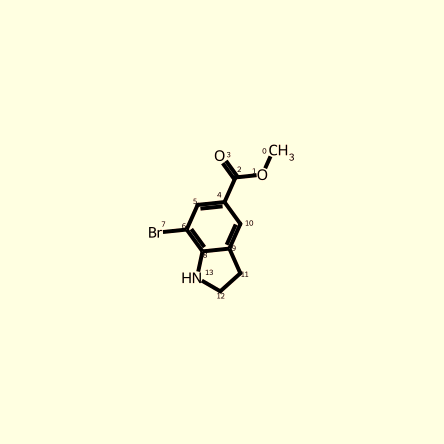 COC(=O)c1cc(Br)c2c(c1)CCN2